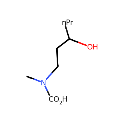 CCCC(O)CCN(C)C(=O)O